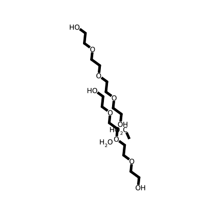 CC(=O)O.O.OCCOCCOCCOCCO.OCCOCCOCCOCCO